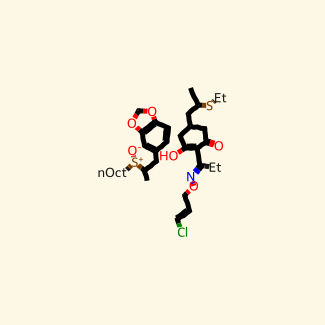 CCCCCCCC[S+]([O-])C(C)Cc1ccc2c(c1)OCO2.CCSC(C)CC1CC(=O)C(/C(CC)=N/OC/C=C/Cl)=C(O)C1